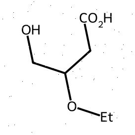 CCOC(CO)CC(=O)O